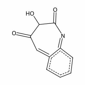 O=C1C=c2ccccc2=NC(=O)C1O